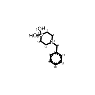 OS1(O)CCN(Cc2[c]cccc2)CC1